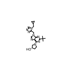 CC(C)(C)c1nc(N2CC[C@H](O)C2)c2ncn(Cc3nnnn3CC3CC3)c2n1